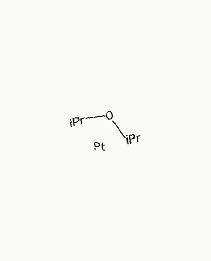 CC(C)OC(C)C.[Pt]